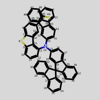 c1ccc(-c2ccc3sc4cccc(N(c5ccc6c(c5)C5(c7ccccc7-c7ccccc75)c5ccccc5-6)c5ccc6sc7ccccc7c6c5)c4c3c2)cc1